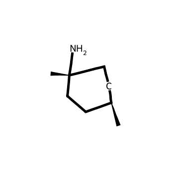 C[C@H]1CC[C@](C)(N)CC1